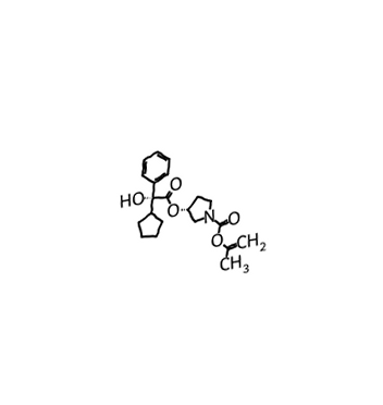 C=C(C)OC(=O)N1CC[C@@H](OC(=O)[C@](O)(c2ccccc2)C2CCCC2)C1